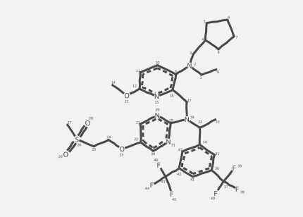 CCN(CC1CCCC1)c1ccc(OC)nc1CN(c1ncc(OCCS(C)(=O)=O)cn1)C(C)c1cc(C(F)(F)F)cc(C(F)(F)F)c1